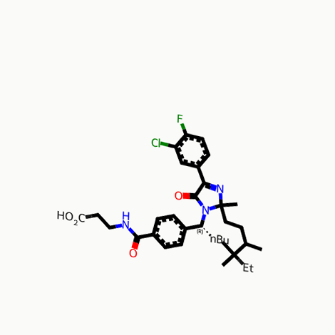 CCCC[C@H](c1ccc(C(=O)NCCC(=O)O)cc1)N1C(=O)C(c2ccc(F)c(Cl)c2)=NC1(C)CCC(C)C(C)(C)CC